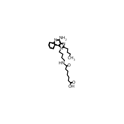 CCCCc1nc2c(N)nc3ccccc3c2n1CCCCNC(=O)CCCCCC(=O)O